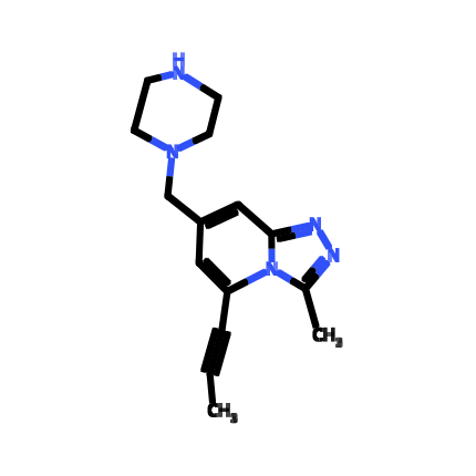 CC#Cc1cc(CN2CCNCC2)cc2nnc(C)n12